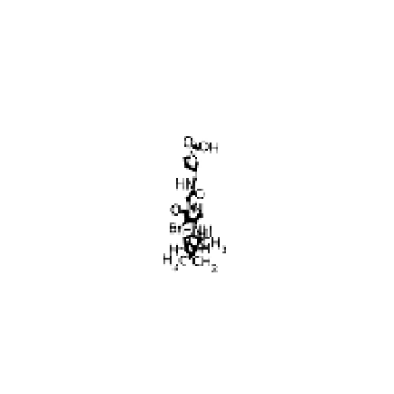 C[C@H]1[C@H]2C[C@H](C[C@H]1Nc1cnn(CC(=O)NC[C@@H]3CCN(C(=O)O)C3)c(=O)c1Br)C2(C)C